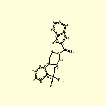 O=C(c1nc2ccccc2o1)N1CCC(c2ccccc2C(F)(F)F)CC1